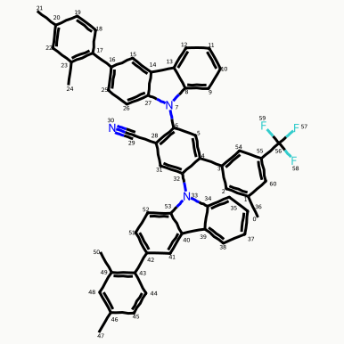 Cc1cc(-c2cc(-n3c4ccccc4c4cc(-c5ccc(C)cc5C)ccc43)c(C#N)cc2-n2c3ccccc3c3cc(-c4ccc(C)cc4C)ccc32)cc(C(F)(F)F)c1